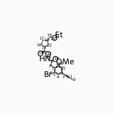 CC#Cc1cc(Br)c(CC(=O)NOC(=O)C2CCC(COCC)C2)c(OC)c1